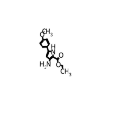 CCOC(=O)c1[nH]c(-c2ccc(OC)cc2)cc1N